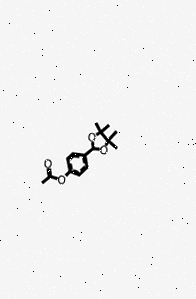 CC(=O)Oc1ccc(C2OC(C)(C)C(C)(C)O2)cc1